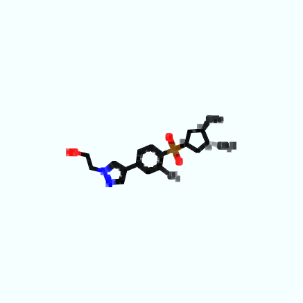 CO[C@@H]1C[C@H](S(=O)(=O)c2ccc(-c3cnn(CCO)c3)cc2C(F)(F)F)C[C@H]1C(=O)O